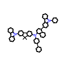 CC1(C)c2cc(N(c3ccc(-c4ccccc4)cc3)c3ccc(-c4ccc5c(c4)c4ccccc4n5-c4ccccc4)c4ccccc34)ccc2-c2ccc(-n3c4ccccc4c4ccccc43)cc21